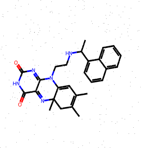 CC1=C(C)CC2(C)N=C3C(=O)NC(=O)N=C3N(CCNC(C)c3cccc4ccccc34)C2=C1